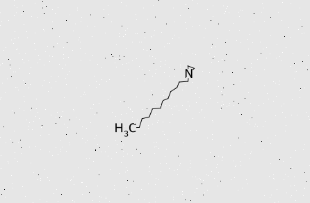 CCCCCCCCCCCCN1CC1